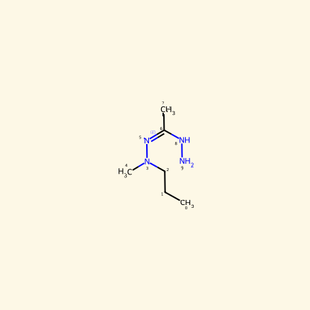 CCCN(C)/N=C(/C)NN